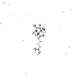 COC(=O)CCCC[C@@H]1SC[C@@H]2NC(=O)N(C)[C@@H]21